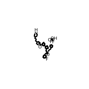 O=C(Cc1cccc(F)c1)N(CCCc1ccccc1)Cc1cccc(-c2cccc(C(=O)N3CCC(CCCC4CCNCC4)CC3)c2)c1.O=C(O)C(F)(F)F